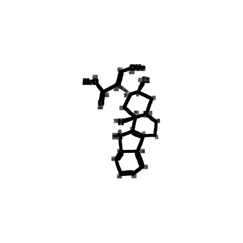 CC[C@H]1CN2CCc3c([nH]c4ccccc34)[C@@H]2C[C@@H]1/C(=C\OC)C(=O)OC